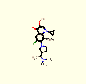 COc1c(N2CC[C@@H]([C@H](C)N(C)C)C2)c(F)cc2c(=O)c(OC(=O)O)cn(C3CC3)c12